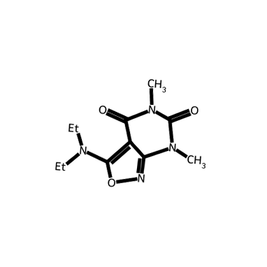 CCN(CC)c1onc2c1c(=O)n(C)c(=O)n2C